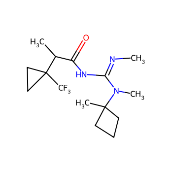 C/N=C(/NC(=O)C(C)C1(C(F)(F)F)CC1)N(C)C1(C)CCC1